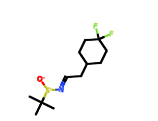 CC(C)(C)[S+]([O-])/N=C/CC1CCC(F)(F)CC1